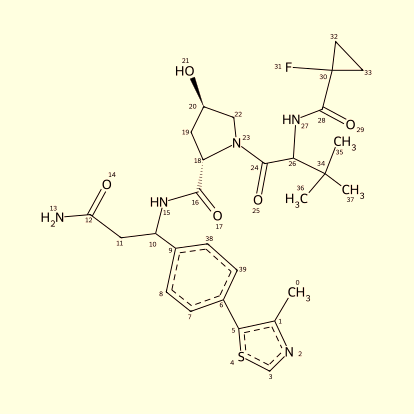 Cc1ncsc1-c1ccc(C(CC(N)=O)NC(=O)[C@@H]2C[C@@H](O)CN2C(=O)C(NC(=O)C2(F)CC2)C(C)(C)C)cc1